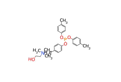 C[N+](C)(C)CCO.Cc1ccc(OP(Oc2ccc(C)cc2)Oc2ccc(C)cc2)cc1